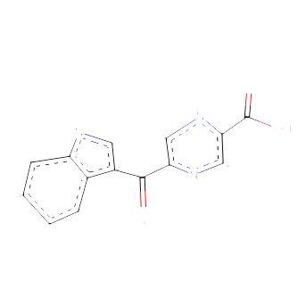 O=C(O)c1cnc(C(=O)c2c[nH]c3ccccc23)cn1